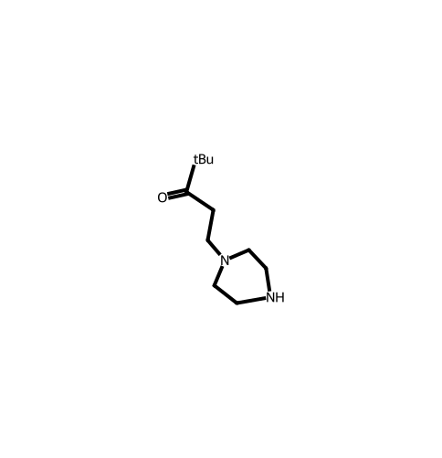 CC(C)(C)C(=O)CCN1CCNCC1